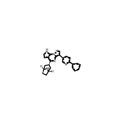 c1ccc(-c2ccc(-c3cnn4c3nc([C@@H]3C[C@H]5CC[C@@H](C3)N5)c3cc[nH]c34)cn2)cc1